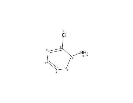 BC1CC=CC=C1Cl